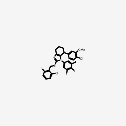 COc1cc(C2CCCc3nc(SCc4c(F)cccc4Cl)n(-c4cc(F)c(F)c(F)c4)c32)ccc1Cl